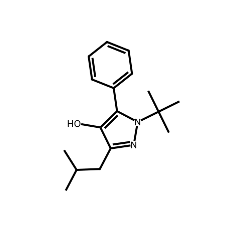 CC(C)Cc1nn(C(C)(C)C)c(-c2ccccc2)c1O